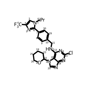 CC(C)n1cc(C(F)(F)F)nc1-c1ccc(CNc2nc(Cl)nc3ncn(C4CCCCO4)c23)cc1